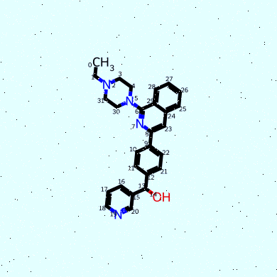 CCN1CCN(c2nc(-c3ccc(C(O)c4cccnc4)cc3)cc3ccccc23)CC1